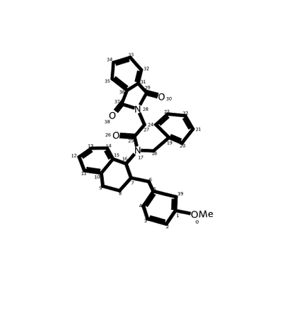 COc1cccc(CC2CCc3ccccc3C2N(Cc2ccccc2)C(=O)CN2C(=O)c3ccccc3C2=O)c1